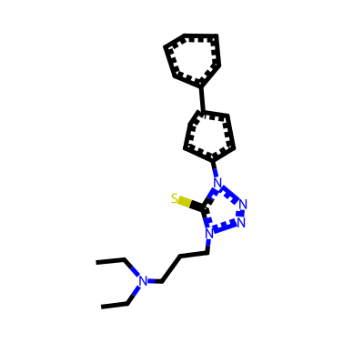 CCN(CC)CCCn1nnn(-c2ccc(-c3ccccc3)cc2)c1=S